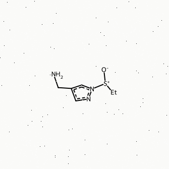 CC[S+]([O-])n1cc(CN)cn1